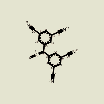 C=C=C(c1cc(C#N)cc(C#N)c1)c1cc(C#N)cc(C#N)c1